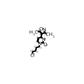 Cc1noc(C)c1-c1ccn(CCCCCl)c(=O)n1